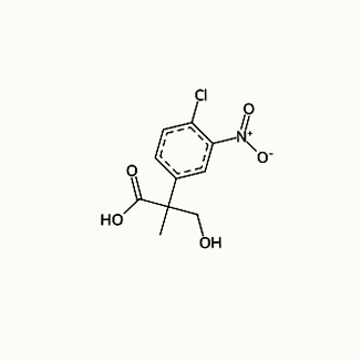 CC(CO)(C(=O)O)c1ccc(Cl)c([N+](=O)[O-])c1